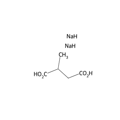 CC(CC(=O)O)C(=O)O.[NaH].[NaH]